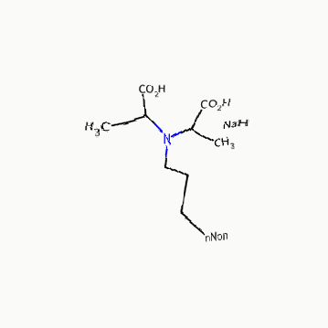 CCCCCCCCCCCCN(C(C)C(=O)O)C(C)C(=O)O.[NaH]